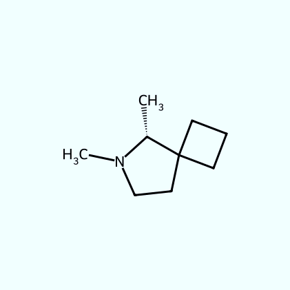 C[C@H]1N(C)CCC12CCC2